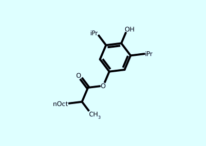 CCCCCCCCC(C)C(=O)Oc1cc(C(C)C)c(O)c(C(C)C)c1